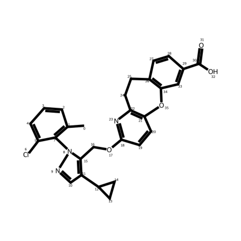 Cc1cccc(Cl)c1-n1ncc(C2CC2)c1COc1ccc2c(n1)CCc1ccc(C(=O)O)cc1O2